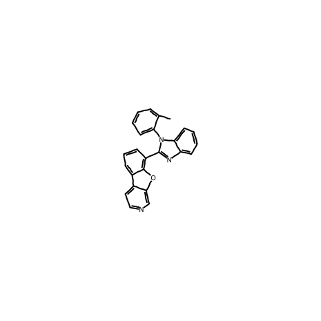 Cc1ccccc1-n1c(-c2cccc3c2oc2cnccc23)nc2ccccc21